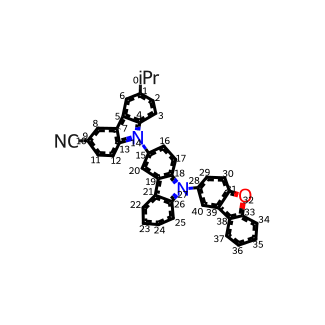 CC(C)c1ccc2c(c1)c1cc(C#N)ccc1n2-c1ccc2c(c1)c1ccccc1n2-c1ccc2oc3ccccc3c2c1